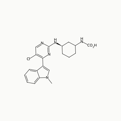 Cn1cc(-c2nc(N[C@@H]3CCCC(NC(=O)O)C3)ncc2Cl)c2ccccc21